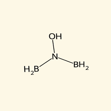 BN(B)O